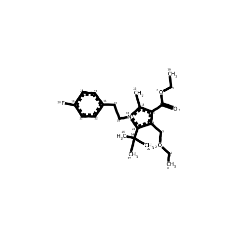 CCOCc1c(C(=O)OCC)c(C)n(CCc2ccc(F)cc2)c1C(C)(C)C